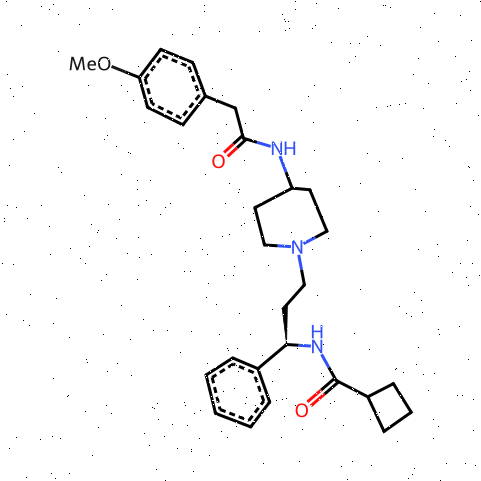 COc1ccc(CC(=O)NC2CCN(CC[C@@H](NC(=O)C3CCC3)c3ccccc3)CC2)cc1